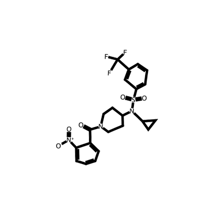 O=C(c1ccccc1[N+](=O)[O-])N1CCC(N(C2CC2)S(=O)(=O)c2cccc(C(F)(F)F)c2)CC1